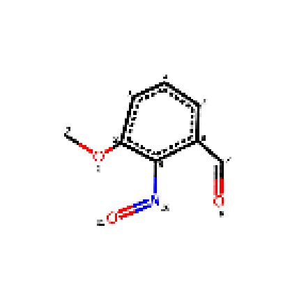 COc1cccc(C=O)c1N=O